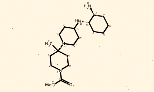 COC(=O)N1CCC(C)(N2CCC(N[C@H]3CCCC[C@@H]3N)CC2)CC1